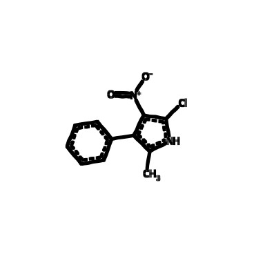 Cc1[nH]c(Cl)c([N+](=O)[O-])c1-c1ccccc1